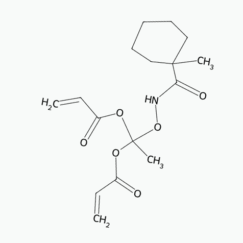 C=CC(=O)OC(C)(ONC(=O)C1(C)CCCCC1)OC(=O)C=C